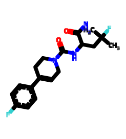 CC(C)(F)CC(NC(=O)N1CC=C(c2ccc(F)cc2)CC1)C(N)=O